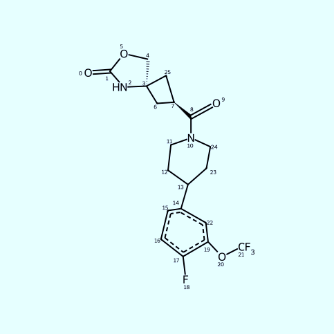 O=C1N[C@]2(CO1)C[C@H](C(=O)N1CCC(c3ccc(F)c(OC(F)(F)F)c3)CC1)C2